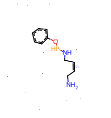 NC/C=C\CNPOc1ccccc1